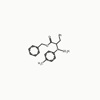 Cc1ccc(N(C(CC(C)C)C(=O)OCc2ccccc2)S(=O)(=O)O)cc1